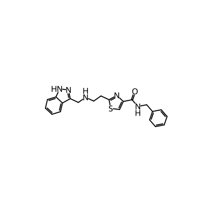 O=C(NCc1ccccc1)c1csc(CCNCc2n[nH]c3ccccc23)n1